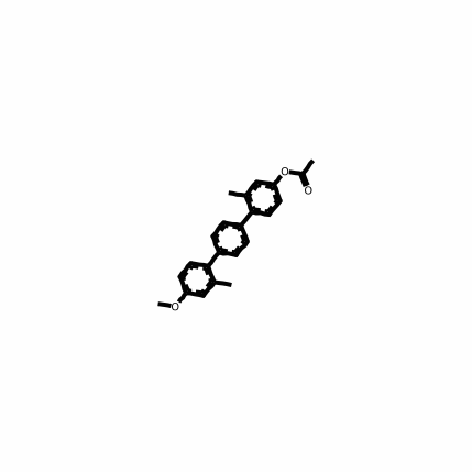 COc1ccc(-c2ccc(-c3ccc(OC(C)=O)cc3C)cc2)c(C)c1